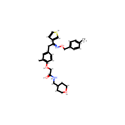 Cc1cc(CC(=NOCc2ccc(C(F)(F)F)cc2)c2ccsc2)ccc1OCC(=O)NCC1CCOCC1